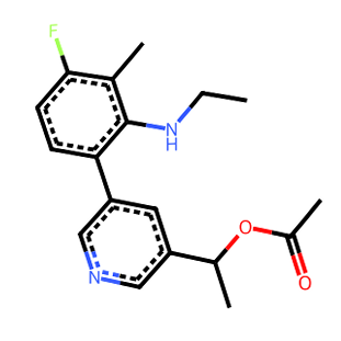 CCNc1c(-c2cncc(C(C)OC(C)=O)c2)ccc(F)c1C